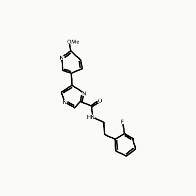 COc1ccc(-c2cncc(C(=O)NCCc3ccccc3F)n2)cn1